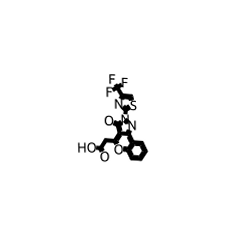 O=C(O)Cc1oc2ccccc2c2nn(-c3nc(C(F)(F)F)cs3)c(=O)c1-2